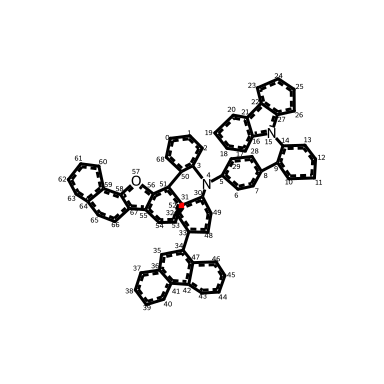 c1ccc(N(c2ccc(-c3ccccc3-n3c4ccccc4c4ccccc43)cc2)c2ccc(-c3cc4ccccc4c4ccccc34)cc2)c(-c2cccc3c2oc2c4ccccc4ccc32)c1